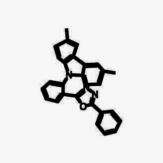 Cc1ccc2c(c1)c1cc(C)ccc1n2-c1ccccc1-c1nnc(-c2ccccc2)o1